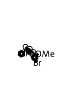 COc1cc(Br)ccc1Oc1nn(-c2ccccc2)c(=O)o1